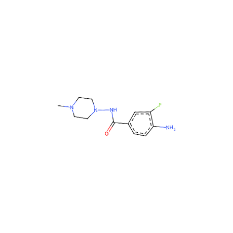 CN1CCN(NC(=O)c2ccc(N)c(F)c2)CC1